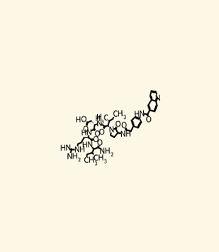 CCC(C)C(NC(=O)[C@@H](CCCNC(=N)N)NC(=O)[C@H](CC(=O)O)NC(=O)[C@H]([C@@H](C)CC)N1CCC(NC(=O)Cc2ccc(NC(=O)c3ccc4ncccc4c3)cc2)C1=O)C(N)=O